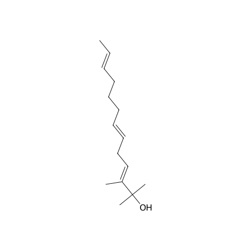 C/C=C/CCC/C=C/C/C=C(\C)C(C)(C)O